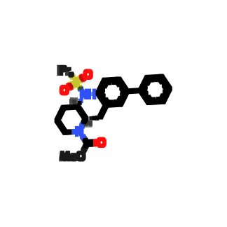 COC(=O)N1CCC[C@H](NS(=O)(=O)C(C)C)[C@@H]1Cc1cccc(-c2ccccc2)c1